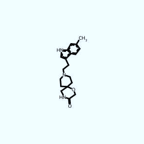 Cc1ccc2c(CCN3CCC4(CC3)CNC(=O)CO4)c[nH]c2c1